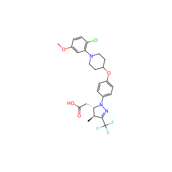 COc1ccc(Cl)c(N2CCC(Oc3ccc(N4N=C(C(F)(F)F)[C@@H](C)[C@@H]4CC(=O)O)cc3)CC2)c1